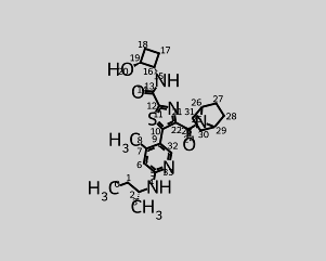 CC[C@@H](C)Nc1cc(C)c(-c2sc(C(=O)N[C@H]3CC[C@@H]3O)nc2C(=O)N2C3CCC2CC3)cn1